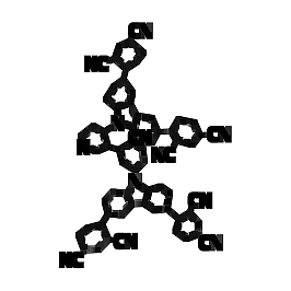 N#Cc1ccc(-c2ccc3c(c2)c2cc(-c4ccc(C#N)cc4C#N)ccc2n3-c2ccc(C#N)c(-c3cnccc3-n3c4ccc(-c5ccc(C#N)cc5C#N)cc4c4cc(-c5ccc(C#N)cc5C#N)ccc43)c2)c(C#N)c1